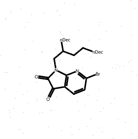 CCCCCCCCCCCCC(CCCCCCCCCC)CN1C(=O)C(=O)c2ccc(Br)nc21